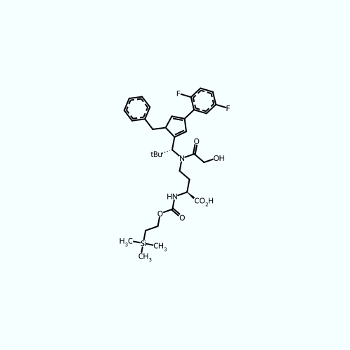 CC(C)(C)[C@H](C1=CC(c2cc(F)ccc2F)=CC1Cc1ccccc1)N(CC[C@H](NC(=O)OCC[Si](C)(C)C)C(=O)O)C(=O)CO